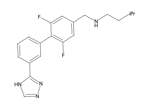 CC(C)CCNCc1cc(F)c(-c2cccc(-c3nnc[nH]3)c2)c(F)c1